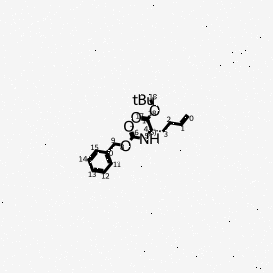 C=CCC[C@H](NC(=O)OCc1ccccc1)C(=O)OC(C)(C)C